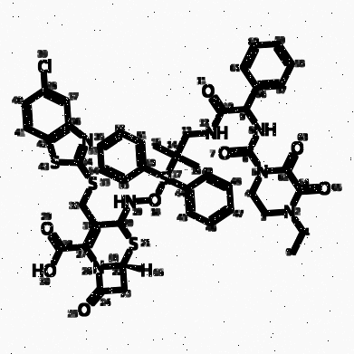 CCN1CCN(C(=O)NC(C(=O)NCC(C)(C)[Si](ONC2S[C@@H]3CC(=O)N3C(C(=O)O)=C2CSc2nc3cc(Cl)ccc3s2)(c2ccccc2)c2ccccc2)c2ccccc2)C(=O)C1=O